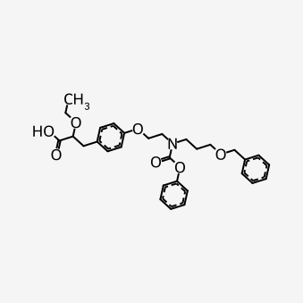 CCOC(Cc1ccc(OCCN(CCCOCc2ccccc2)C(=O)Oc2ccccc2)cc1)C(=O)O